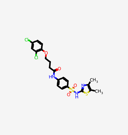 Cc1nc(NS(=O)(=O)c2ccc(NC(=O)CCCOc3ccc(Cl)cc3Cl)cc2)sc1C